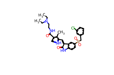 CCN(CC)CCNC(=O)c1c[nH]c(/C=C2\C(=O)Nc3ccc(S(=O)(=O)Cc4cccc(Cl)c4)cc32)c1C